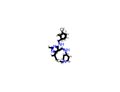 C/C1=c2\nc(C)nc(NCc3cccc(C(F)(F)F)c3C)\c2=C\NC2CCN(CCC1)CC2